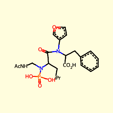 CC(=O)NCN(C(CC(C)C)C(=O)N(c1ccoc1)C(Cc1ccccc1)C(=O)O)P(=O)(O)O